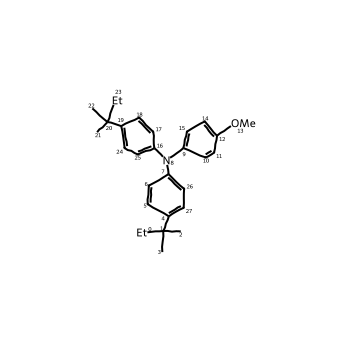 CCC(C)(C)c1ccc(N(c2ccc(OC)cc2)c2ccc(C(C)(C)CC)cc2)cc1